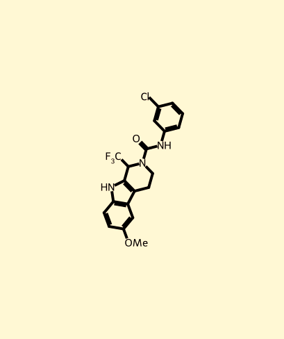 COc1ccc2[nH]c3c(c2c1)CCN(C(=O)Nc1cccc(Cl)c1)C3C(F)(F)F